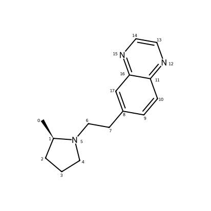 C[C@@H]1CCCN1CCc1ccc2nccnc2c1